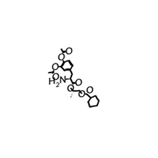 CC(=O)Oc1ccc(C[C@H](N)C(=O)O[C@@H](C)COC(=O)C2CCCCC2)cc1OC(C)=O